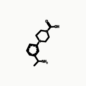 CC(N)c1cccc(N2CCN(C(=O)O)CC2)c1